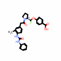 Cc1cc(CC(=O)N2CCC[C@H]2C(F)Oc2ccc(C(=O)O)cc2)ccc1NC(=O)Nc1ccccc1